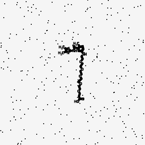 Cc1ccc(NCCOCCOCCOCCOCCOCCC(=O)O)cc1C(=O)Nc1nc(C)c(C)s1